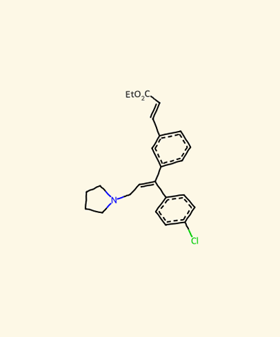 CCOC(=O)C=Cc1cccc(C(=CCN2CCCC2)c2ccc(Cl)cc2)c1